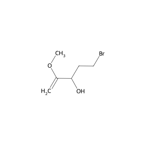 C=C(OC)C(O)CCBr